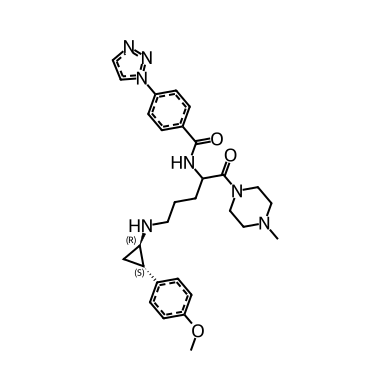 COc1ccc([C@@H]2C[C@H]2NCCCC(NC(=O)c2ccc(-n3ccnn3)cc2)C(=O)N2CCN(C)CC2)cc1